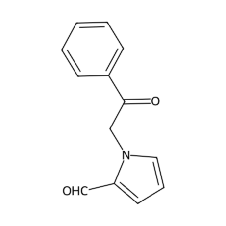 O=Cc1cccn1CC(=O)c1ccccc1